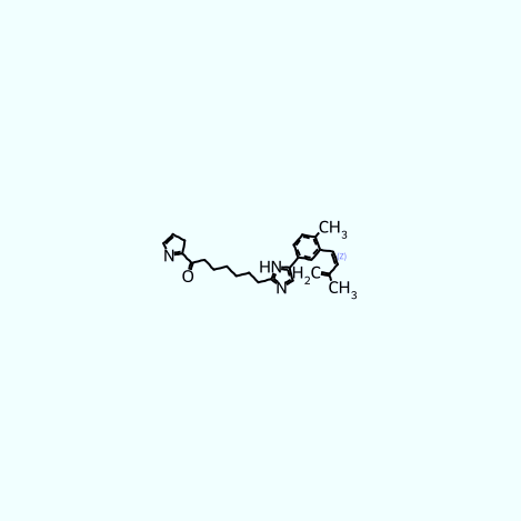 C=C(C)/C=C\c1cc(-c2cnc(CCCCCCC(=O)C3=NC=CC3)[nH]2)ccc1C